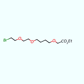 CCOC(=O)COCCCCOCCOCCBr